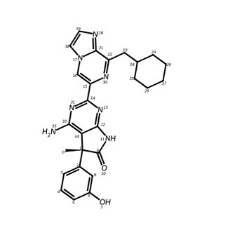 C[C@]1(c2cccc(O)c2)C(=O)Nc2nc(-c3cn4ccnc4c(CC4CCCCC4)n3)nc(N)c21